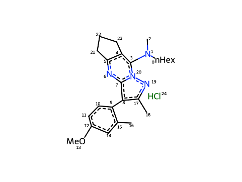 CCCCCCN(C)c1c2c(nc3c(-c4ccc(OC)cc4C)c(C)nn13)CCC2.Cl